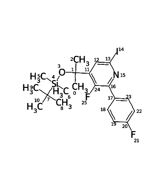 CC(C)(O[Si](C)(C)C(C)(C)C)c1cc(I)nc(-c2ccc(F)cc2)c1F